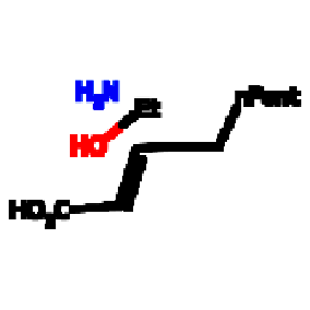 CCCCCCC=CC(=O)O.CCO.N